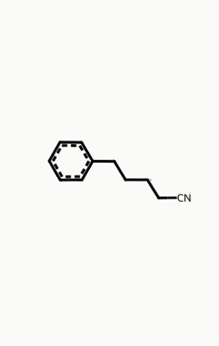 N#CC[CH]CCc1ccccc1